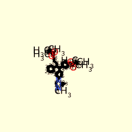 CN1CCN(c2ccc(/C(=C(/CCCOC(=O)C(C)(C)C)c3ccccc3)c3ccc(OC(=O)C(C)(C)C)cc3)cc2)C2CC21